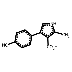 Cc1[nH]cc(-c2ccc(C#N)cc2)c1C(=O)O